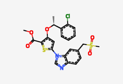 COC(=O)c1sc(-n2cnc3ccc(CS(C)(=O)=O)cc32)cc1O[C@H](C)c1ccccc1Cl